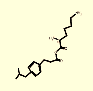 CC(C)Cc1ccc(CCC(=O)OC(=O)[C@@H](N)CCCCN)cc1